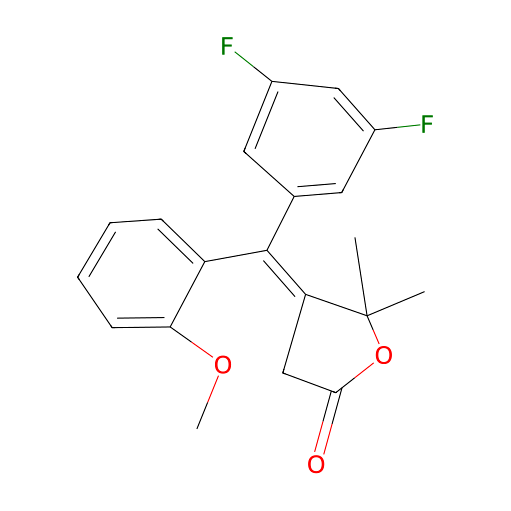 COc1ccccc1/C(=C1\CC(=O)OC1(C)C)c1cc(F)cc(F)c1